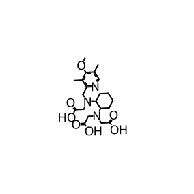 COc1c(C)cnc(CN(CC(=O)O)[C@H]2CCCCC2N(CC(=O)O)CC(=O)O)c1C